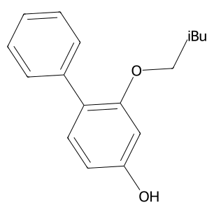 CCC(C)COc1cc(O)ccc1-c1ccccc1